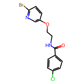 O=C(NCCOc1ccc(Br)nc1)c1ccc(Cl)cc1